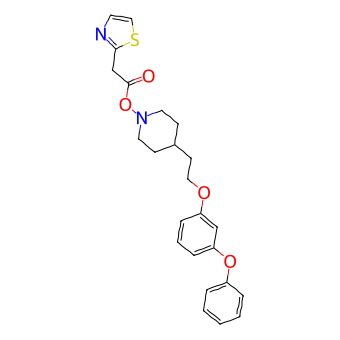 O=C(Cc1nccs1)ON1CCC(CCOc2cccc(Oc3ccccc3)c2)CC1